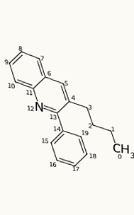 CCCCc1cc2ccccc2nc1-c1ccccc1